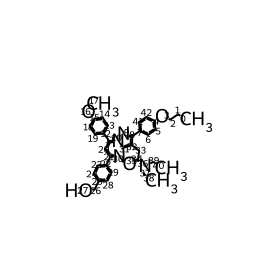 CCCOc1ccc(-c2nn3c(-c4ccc(OC)cc4)cc(-c4ccc(CO)cc4)nc3c2CC(=O)N(CC)CC)cc1